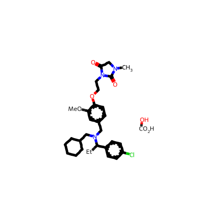 CCC(c1ccc(Cl)cc1)N(Cc1ccc(OCCN2C(=O)CN(C)C2=O)c(OC)c1)CC1CCCCC1.O=C(O)O